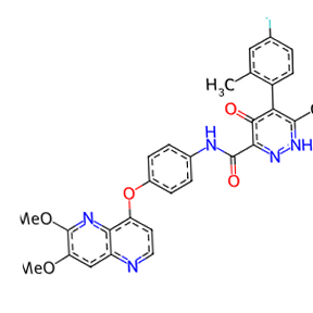 COc1cc2nccc(Oc3ccc(NC(=O)c4n[nH]c(C)c(-c5ccc(F)cc5C)c4=O)cc3)c2nc1OC